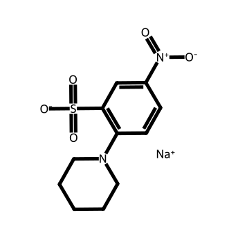 O=[N+]([O-])c1ccc(N2CCCCC2)c(S(=O)(=O)[O-])c1.[Na+]